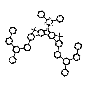 CC1(C)c2ccc(-c3cccc(-c4cc(C5=CC=CCC5)cc(-c5cccc(-c6ccccc6)c5)c4)c3)cc2-c2cc3c4cc5c(cc4n(-c4nc(-c6ccccc6)nc(-c6ccccc6)n4)c3cc21)C(C)(C)c1ccc(-c2cccc(-c3cc(-c4ccccc4)cc(-c4cccc(-c6ccccc6)c4)c3)c2)cc1-5